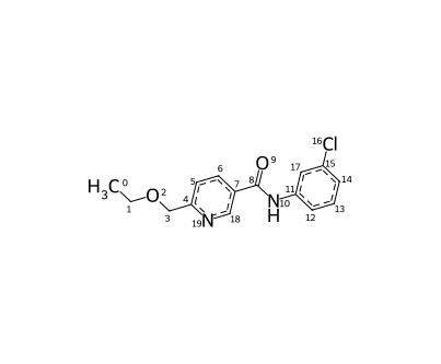 CCOCc1ccc(C(=O)Nc2cccc(Cl)c2)cn1